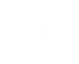 CC(C)Oc1ccc(CN2CCN(C(=O)c3cc4ccc(Oc5ccc(N(C)S(=O)(=O)c6ccc(Cl)c(Cl)c6)cn5)cc4n3C)CC2)cc1